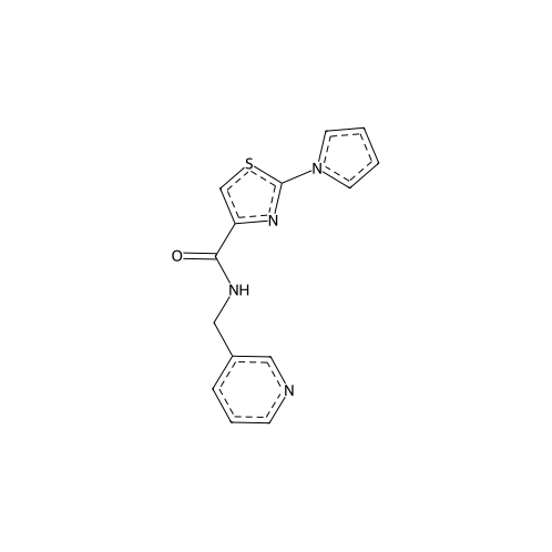 O=C(NCc1cccnc1)c1csc(-n2cccc2)n1